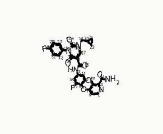 NC(=O)c1nccc(Oc2ccc(NC(=O)c3cn(CC4CC4)c(=O)n(-c4ccc(F)cc4)c3=O)cc2F)c1Cl